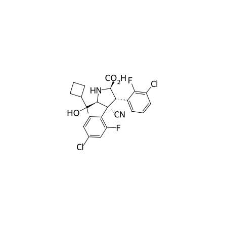 CC(O)(C1CCC1)[C@H]1N[C@@H](C(=O)O)[C@H](c2cccc(Cl)c2F)[C@@]1(C#N)c1ccc(Cl)cc1F